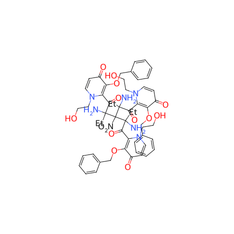 CCC(N)(C(=O)c1c(OCc2ccccc2)c(=O)ccn1CCO)C([N+](=O)[O-])(C(N)(CC)C(=O)c1c(OCc2ccccc2)c(=O)ccn1CCO)C(N)(CC)C(=O)c1c(OCc2ccccc2)c(=O)ccn1CCO